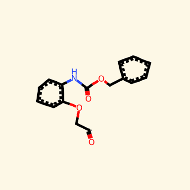 O=[C]COc1ccccc1NC(=O)OCc1ccccc1